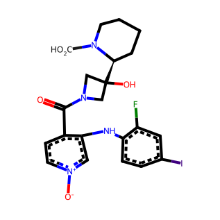 O=C(c1cc[n+]([O-])cc1Nc1ccc(I)cc1F)N1CC(O)([C@@H]2CCCCN2C(=O)O)C1